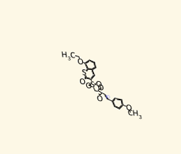 CCOc1cccc2cc(S(=O)(=O)CS(=O)(=O)/C=C/c3ccc(OC)cc3)c(=O)sc12